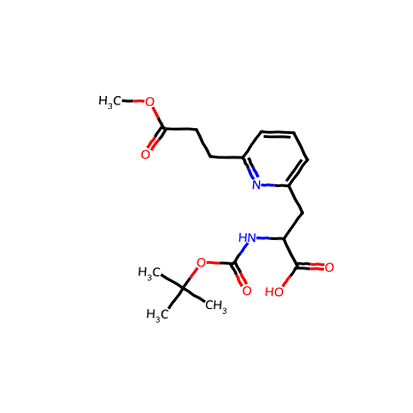 COC(=O)CCc1cccc(CC(NC(=O)OC(C)(C)C)C(=O)O)n1